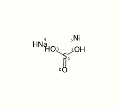 O=S(O)O.[NaH].[Ni]